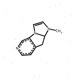 CN1C=CN2c3cnccc3CC12